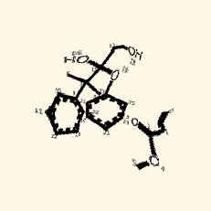 C=CC(=O)OC.CC(C)(c1ccccc1)C(O)(CO)Oc1ccccc1